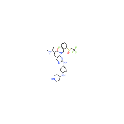 C=C(c1cc2cnc(Nc3ccc(NC4CCNCC4)cc3)nc2n(Cc2c(F)cccc2[S+]([O-])CC(F)(F)F)c1=O)N(C)C